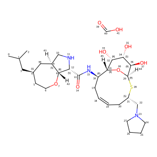 CC(C)C[C@@H]1CCO[C@@H]2[C@H](CN[C@@H]2C(=O)N[C@@H]2CC=CC[C@@H](CN3CCCC3)S[C@H]3O[C@H]2[C@H](O)[C@H](O)[C@H]3O)C1.O=CO